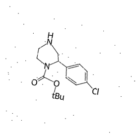 CC(C)(C)OC(=O)N1CCNCC1c1ccc(Cl)cc1